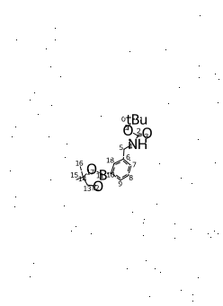 CC(C)(C)OC(=O)NCc1cccc(B2OCC(C)(C)O2)c1